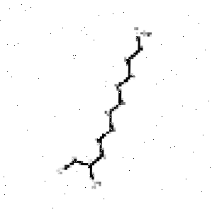 CCCCCCCCCCCCCCCCCCC(CO)CCC